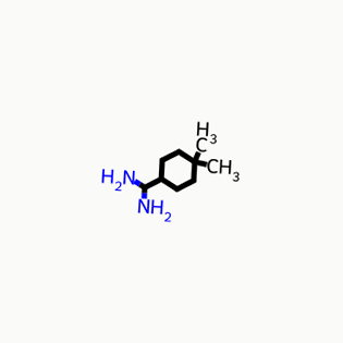 CC1(C)CCC(C(N)N)CC1